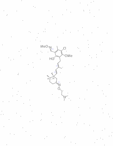 CO/N=C/c1c(C)c(Cl)c(OC)c(C/C=C(C)/C=C/[C@]2(C)C/C(=N/OCCN(C)C)CC[C@H]2C)c1O